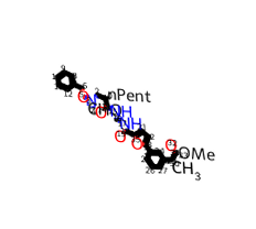 CCCCC[C@H](CN(C=O)OCc1ccccc1)C(=O)NCNC(=O)c1ccc(-c2cccc(C(C)C(=O)OC)c2)o1